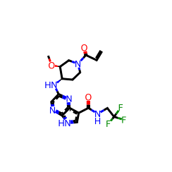 C=CC(=O)N1CC[C@@H](Nc2cnc3[nH]cc(C(=O)NCC(F)(F)F)c3n2)[C@@H](OC)C1